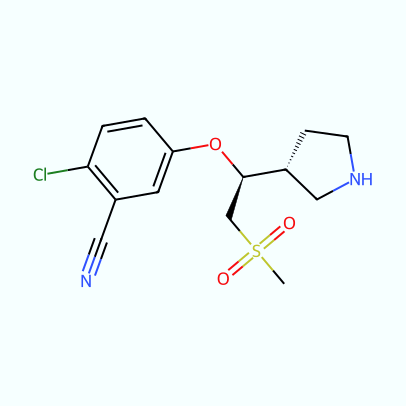 CS(=O)(=O)C[C@@H](Oc1ccc(Cl)c(C#N)c1)[C@@H]1CCNC1